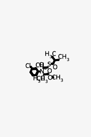 CCC(CC)C(=O)SCC(=O)N(c1c(C)ccc(Cl)c1C)[C@@H](C)C(=O)OC